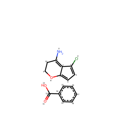 NC1=C2C(Cl)=CC=C2OCC1.O=C(O)c1ccccc1